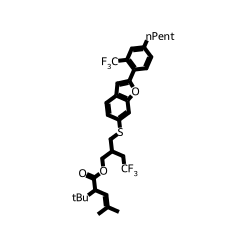 CCCCCc1ccc(-c2cc3ccc(SCC(COC(=O)C(C=C(C)C)C(C)(C)C)CC(F)(F)F)cc3o2)c(C(F)(F)F)c1